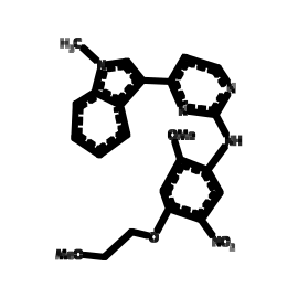 COCCOc1cc(OC)c(Nc2nccc(-c3cn(C)c4ccccc34)n2)cc1[N+](=O)[O-]